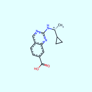 C[C@@H](Nc1ncc2ccc(C(=O)O)cc2n1)C1CC1